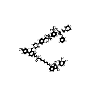 CC1(CNC(=O)CCCCCCNc2cccc3c2C(=O)N(C2CCC(=O)NC2=O)C3=O)CCC(c2ccc(Cl)cc2)=C(CN2CCN(c3ccc(C(=O)NS(=O)(=O)c4ccc(N[C@H](CCN5CCOCC5)CSc5ccccc5)c(S(=O)(=O)C(F)(F)F)c4)cc3)CC2)C1